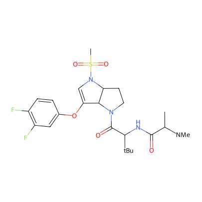 CNC(C)C(=O)NC(C(=O)N1CCC2C1C(Oc1ccc(F)c(F)c1)=CN2S(C)(=O)=O)C(C)(C)C